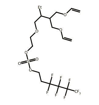 C=COCC(COC=C)C(CC)COCCOS(=O)(=O)OCCC(F)(F)C(F)(F)C(F)(F)C(F)(F)F